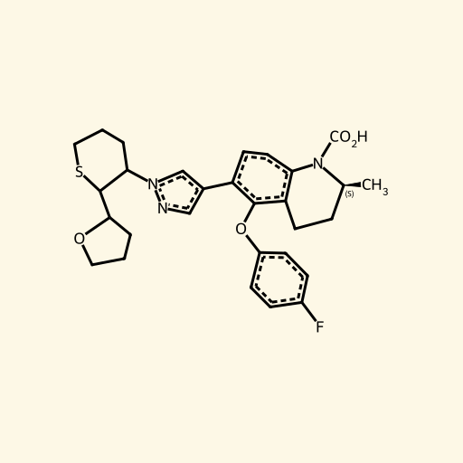 C[C@H]1CCc2c(ccc(-c3cnn(C4CCCSC4C4CCCO4)c3)c2Oc2ccc(F)cc2)N1C(=O)O